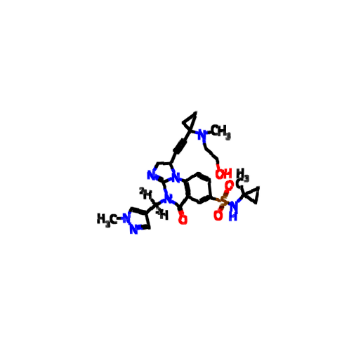 [2H]C([2H])(c1cnn(C)c1)N1C(=O)c2cc(S(=O)(=O)NC3(C)CC3)ccc2N2C1=NCC2C#CC1(N(C)CCO)CC1